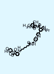 Cc1cc(C)c(CNC(=O)c2cc(-c3ccc(N4CCN(CCNC(=O)CCCCCCCNc5cccc6c5C(=O)N(C5CCC(=O)NC5=O)C6=O)CC4)nc3)cc3c2cnn3C(C)C)c(=O)[nH]1